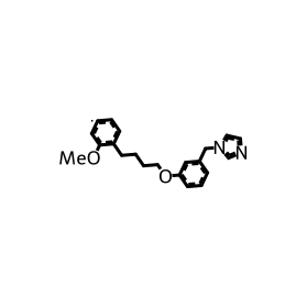 COc1c[c]ccc1CCCCOc1cccc(Cn2ccnc2)c1